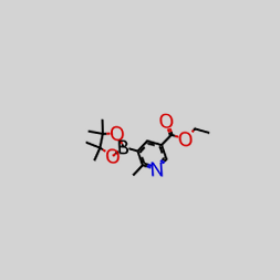 CCOC(=O)c1cnc(C)c(B2OC(C)(C)C(C)(C)O2)c1